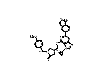 COc1ccc([C@@H](C)N2CC([C@@H](C)Oc3nc(-c4ccc5[nH]ncc5c4)cc4ncn(C5CC5)c34)CC2=O)cc1